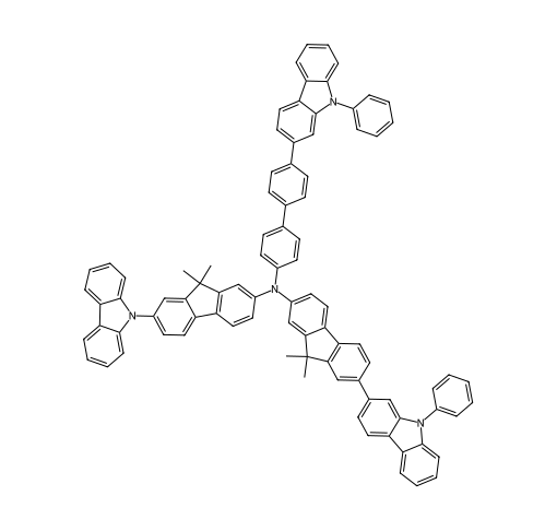 CC1(C)c2cc(-c3ccc4c5ccccc5n(-c5ccccc5)c4c3)ccc2-c2ccc(N(c3ccc(-c4ccc(-c5ccc6c7ccccc7n(-c7ccccc7)c6c5)cc4)cc3)c3ccc4c(c3)C(C)(C)c3cc(-n5c6ccccc6c6ccccc65)ccc3-4)cc21